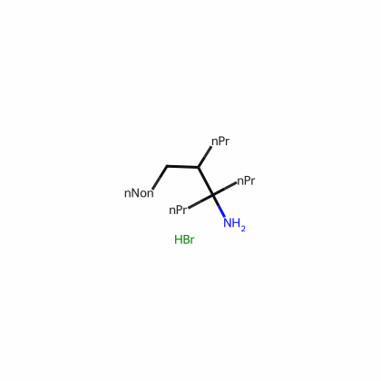 Br.CCCCCCCCCCC(CCC)C(N)(CCC)CCC